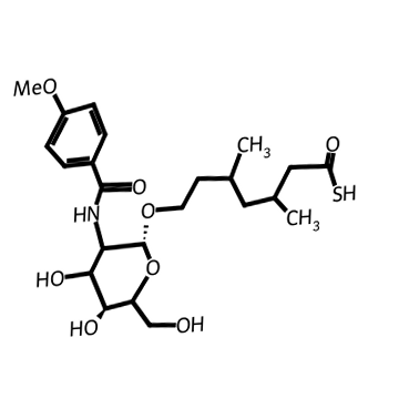 COc1ccc(C(=O)NC2C(O)[C@H](O)C(CO)O[C@H]2OCCC(C)CC(C)CC(=O)S)cc1